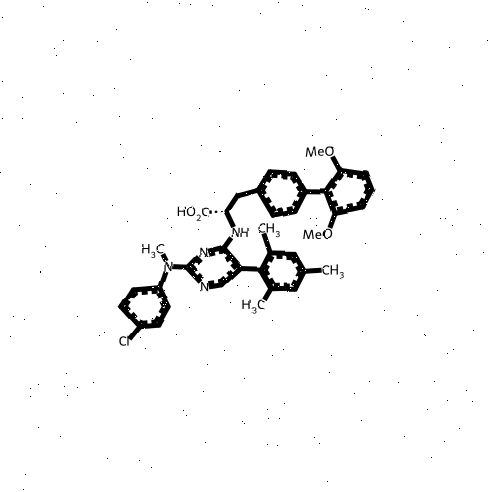 COc1cccc(OC)c1-c1ccc(C[C@H](Nc2nc(N(C)c3ccc(Cl)cc3)ncc2-c2c(C)cc(C)cc2C)C(=O)O)cc1